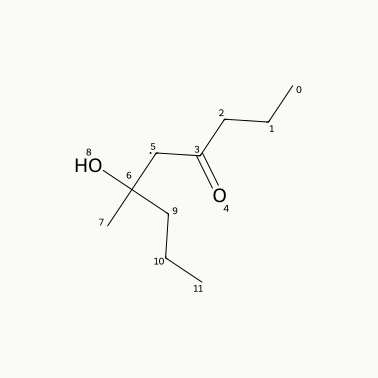 CCCC(=O)[CH]C(C)(O)CCC